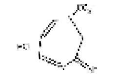 Cl.N=C1CN(C(=O)O)C=CC=N1